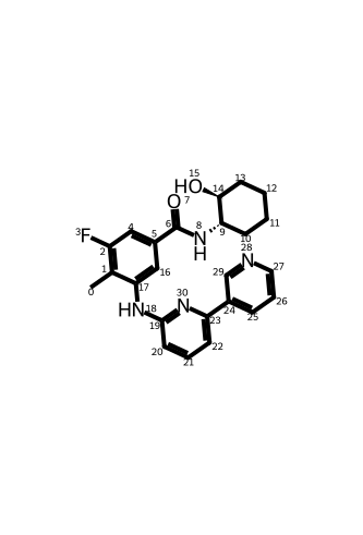 Cc1c(F)cc(C(=O)N[C@H]2CCCC[C@@H]2O)cc1Nc1cccc(-c2cccnc2)n1